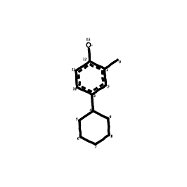 Cc1cc(C2CCCCC2)ccc1[O]